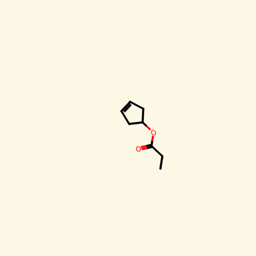 CCC(=O)OC1CC=CC1